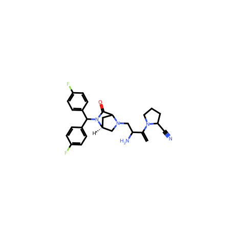 C=C(C(N)CN1C[C@@H]2CC1C(=O)N2C(c1ccc(F)cc1)c1ccc(F)cc1)N1CCCC1C#N